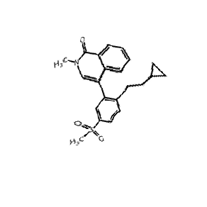 Cn1cc(-c2cc(S(C)(=O)=O)ccc2CCC2CC2)c2ccccc2c1=O